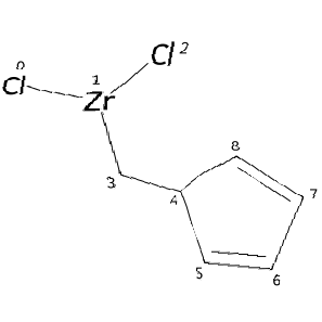 [Cl][Zr]([Cl])[CH2]C1C=CC=C1